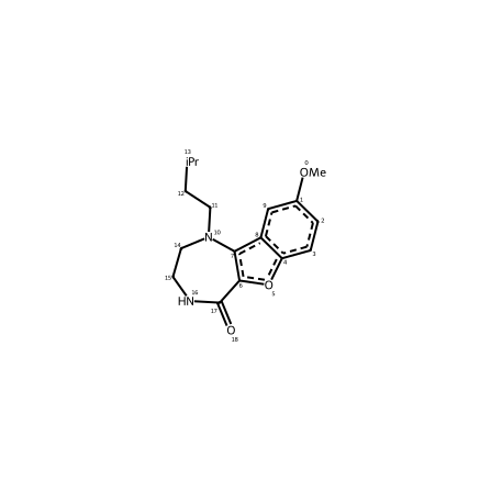 COc1ccc2oc3c(c2c1)N(CCC(C)C)CCNC3=O